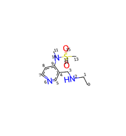 CCNCc1cnccc1N(C)S(C)(=O)=O